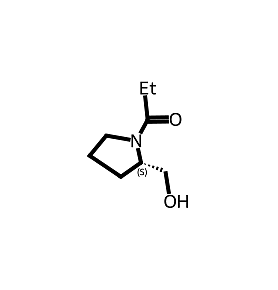 CCC(=O)N1CCC[C@H]1CO